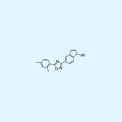 Cc1ccc(-c2nc(-c3ccc4c(c3)C=CC4C(C)C)no2)c(C)c1